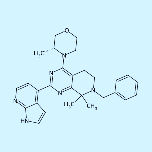 C[C@@H]1COCCN1c1nc(-c2ccnc3[nH]ccc23)nc2c1CCN(Cc1ccccc1)C2(C)C